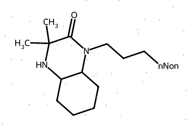 CCCCCCCCCCCCN1C(=O)C(C)(C)NC2CCCCC21